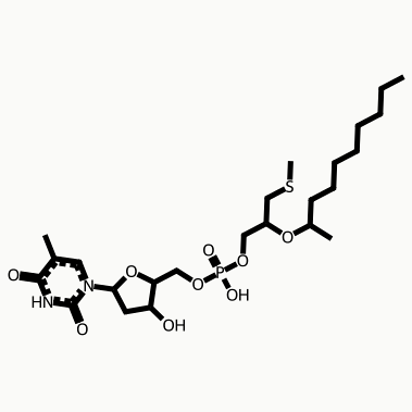 CCCCCCCCC(C)OC(COP(=O)(O)OCC1OC(n2cc(C)c(=O)[nH]c2=O)CC1O)CSC